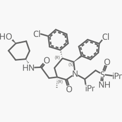 CC(C)C(CS(=N)(=O)C(C)C)N1C(=O)[C@@](C)(CC(=O)N[C@H]2CC[C@H](O)CC2)C[C@H](c2cccc(Cl)c2)[C@H]1c1ccc(Cl)cc1